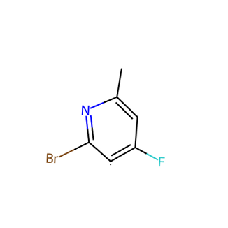 Cc1cc(F)[c]c(Br)n1